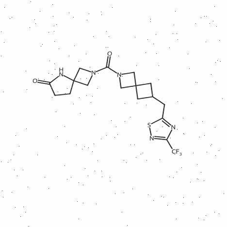 O=C1CCC2(CN(C(=O)N3CC4(CC(Cc5nc(C(F)(F)F)ns5)C4)C3)C2)N1